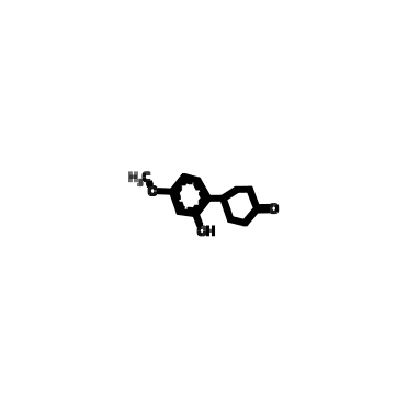 COc1ccc(C2CCC(=O)CC2)c(O)c1